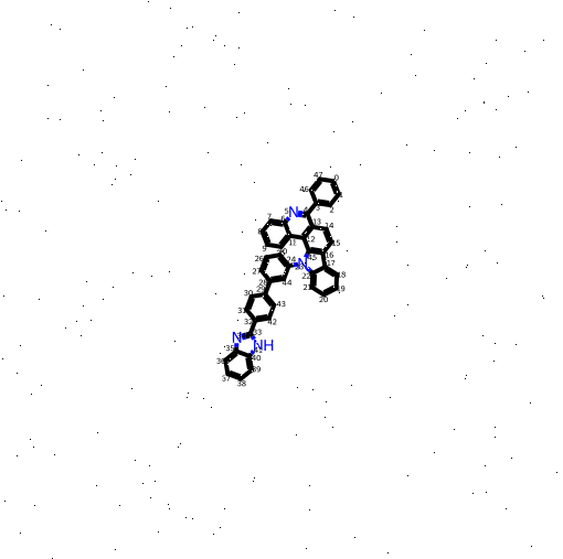 c1ccc(-c2nc3ccccc3c3c2ccc2c4ccccc4n(-c4cccc(-c5ccc(-c6nc7ccccc7[nH]6)cc5)c4)c23)cc1